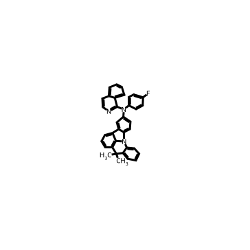 CC1(C)c2ccccc2-n2c3ccc(N(c4ccc(F)cc4)c4nccc5ccccc45)cc3c3cccc1c32